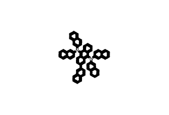 C1=Cc2cc(N(c3ccc4ccccc4c3)c3c4ccccc4c(N(c4ccc5ccccc5c4)c4ccc5ccccc5c4)c4ccc(-c5ccc6ccccc6c5)cc34)ccc2CC1